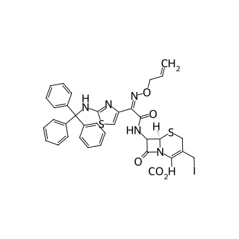 C=CCO/N=C(\C(=O)NC1C(=O)N2C(C(=O)O)=C(CI)CS[C@H]12)c1csc(NC(c2ccccc2)(c2ccccc2)c2ccccc2)n1